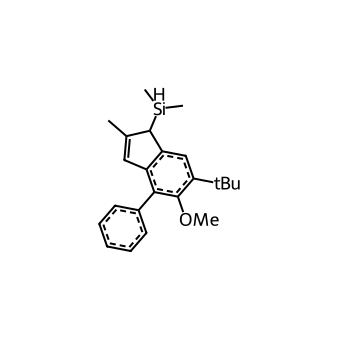 COc1c(C(C)(C)C)cc2c(c1-c1ccccc1)C=C(C)C2[SiH](C)C